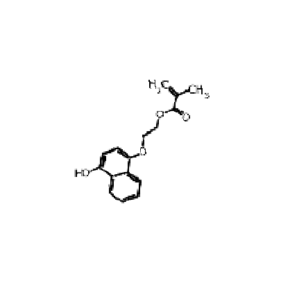 C=C(C)C(=O)OCCOc1ccc(O)c2ccccc12